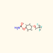 NC(=O)O[C@H]1CC[C@H](OCC(F)(F)F)CC1